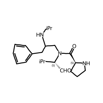 CC(C)NC(Cc1ccccc1)CN(C(=O)[C@@H]1CCCN1)[C@H]([C]=O)C(C)C